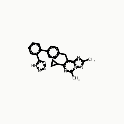 Cc1nc2c(Cc3ccc(-c4ccccc4-c4nnn[nH]4)cc3)c(C3CC3)nc(C)n2n1